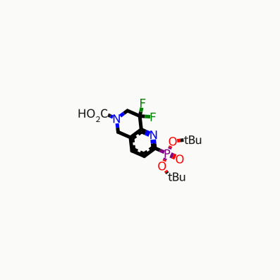 CC(C)(C)OP(=O)(OC(C)(C)C)c1ccc2c(n1)C(F)(F)CN(C(=O)O)C2